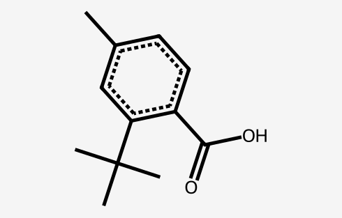 Cc1ccc(C(=O)O)c(C(C)(C)C)c1